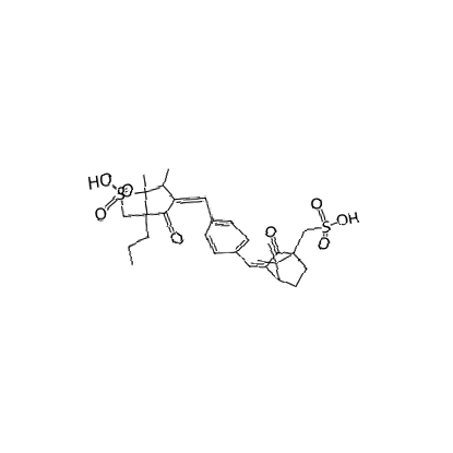 CCCC1(CS(=O)(=O)O)C(=O)/C(=C\c2ccc(/C=C3\C(=O)C4(CS(=O)(=O)O)CCC3C4(C)C)cc2)C(C)C1(C)C